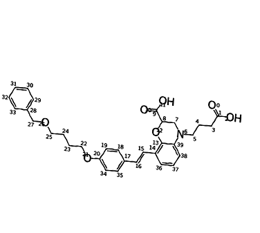 O=C(O)CCCN1CC(C(=O)O)Oc2c(/C=C/c3ccc(OCCCCOCc4ccccc4)cc3)cccc21